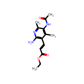 CCOC(=O)C=Cc1c(N)nc(C)c(NC(C)=O)c1C